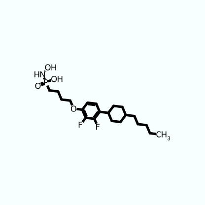 CCCCCC1CCC(c2ccc(OCCCCP(=O)(O)NO)c(F)c2F)CC1